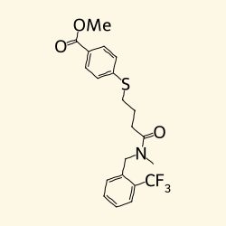 COC(=O)c1ccc(SCCCC(=O)N(C)Cc2ccccc2C(F)(F)F)cc1